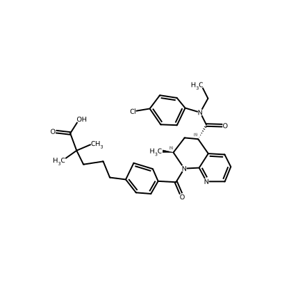 CCN(C(=O)[C@H]1C[C@H](C)N(C(=O)c2ccc(CCCC(C)(C)C(=O)O)cc2)c2ncccc21)c1ccc(Cl)cc1